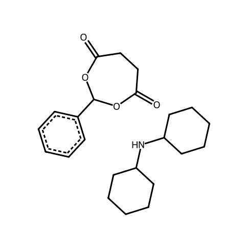 C1CCC(NC2CCCCC2)CC1.O=C1CCC(=O)OC(c2ccccc2)O1